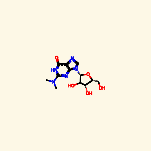 CN(C)c1nc2c(ncn2[C@@H]2O[C@H](CO)[C@H](O)C2O)c(=O)[nH]1